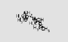 COc1cc(C=CCN2CCN(C(C)C(O)c3ccc(SC(C)C)cc3)CC2)cc(OC)c1OC